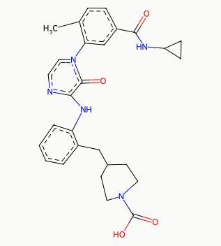 Cc1ccc(C(=O)NC2CC2)cc1-n1ccnc(Nc2ccccc2CC2CCN(C(=O)O)CC2)c1=O